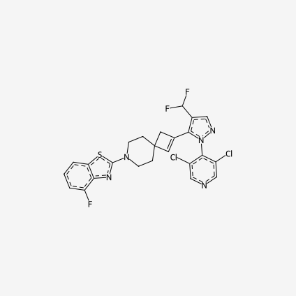 Fc1cccc2sc(N3CCC4(C=C(c5c(C(F)F)cnn5-c5c(Cl)cncc5Cl)C4)CC3)nc12